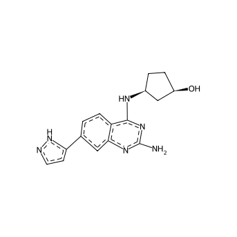 Nc1nc(N[C@H]2CC[C@@H](O)C2)c2ccc(-c3ccn[nH]3)cc2n1